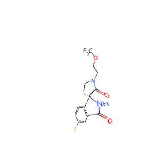 O=C1N[C@@]2(CCN(CCOC(F)(F)F)C2=O)c2ccc(F)cc21